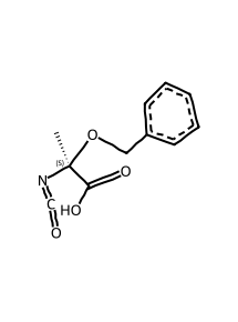 C[C@](N=C=O)(OCc1ccccc1)C(=O)O